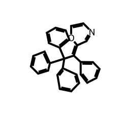 C1=COC(=C(c2ccccc2)C(c2ccccc2)(c2ccccc2)c2ccccc2)C=N1